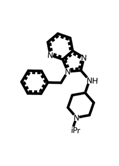 CC(C)N1CCC(Nc2nc3cccnc3n2Cc2ccccc2)CC1